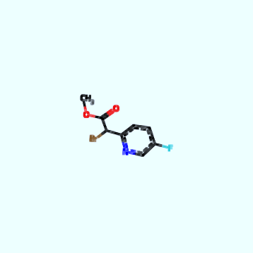 COC(=O)C(Br)c1ccc(F)cn1